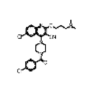 CN(C)CCCOc1nc2ccc(Cl)cc2c(N2CCN(C(=O)c3ccc(Cl)cc3)CC2)c1C#N